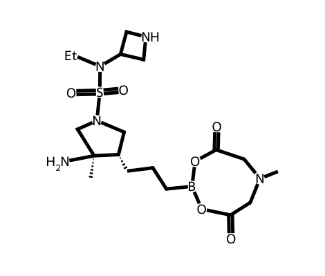 CCN(C1CNC1)S(=O)(=O)N1C[C@H](CCCB2OC(=O)CN(C)CC(=O)O2)[C@@](C)(N)C1